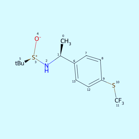 C[C@H](N[S@+]([O-])C(C)(C)C)c1ccc(SC(F)(F)F)cc1